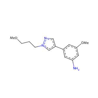 COCCCn1cc(-c2cc(N)cc(OC)c2)cn1